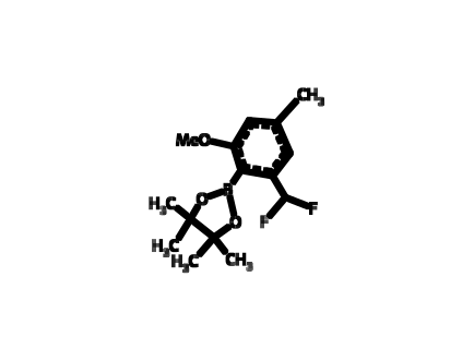 COc1cc(C)cc(C(F)F)c1B1OC(C)(C)C(C)(C)O1